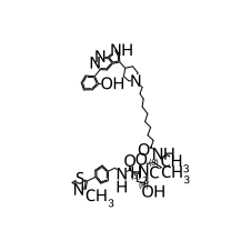 Cc1ncsc1-c1ccc(CNC(=O)[C@@H]2C[C@@H](O)CN2C(=O)[C@@H](NC(=O)CCCCCCCCCN2CCC(c3c[nH]c4nnc(-c5ccccc5O)cc34)CC2)C(C)(C)C)cc1